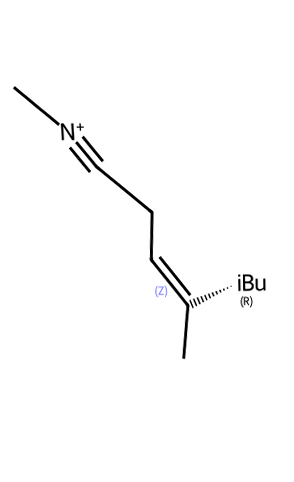 CC[C@@H](C)/C(C)=C\CC#[N+]C